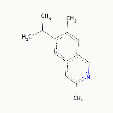 Cc1cc2cc(C(C)C)c(C)cc2cn1